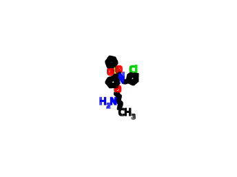 CCCC(N)CCOc1cccc2c(S(=O)(=O)c3ccccc3)nn(Cc3cccc(Cl)c3)c12